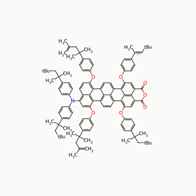 C=C(C)CC(C)(C)c1ccc(Oc2ccc3c(N(c4ccc(C(C)(C)CC(C)(C)C)cc4)c4ccc(C(C)(C)CC(C)(C)C)cc4)cc(Oc4ccc(C(C)(C)CC(=C)C)cc4)c4c5ccc6c7c(Oc8ccc(C(C)(C)CC(C)(C)C)cc8)cc8c9c(cc(Oc%10ccc(/C(C)=C/C(C)(C)C)cc%10)c(c%10ccc(c2c34)c5c%106)c97)C(=O)OC8=O)cc1